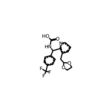 O=C(O)NC(c1ccc(C(F)(F)F)cc1)c1ncccc1CC1OCCO1